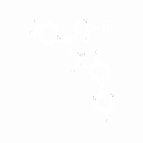 O=C(NCC(c1cnc(C2CC2)s1)N1CCC(F)(F)CC1)c1cc(-c2ncc(F)cn2)ccc1Cl